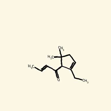 CC=CC(=O)C1C(CC)=CCC1(C)C